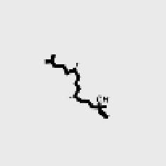 C=CC(C)(O)CCC[C@H](C)CCC[C@H](C)CCCC(C)C